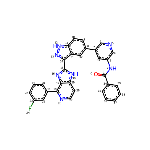 O=C(Nc1cncc(-c2ccc3[nH]nc(-c4nc5c(-c6cccc(F)c6)nccc5[nH]4)c3c2)c1)c1ccccc1